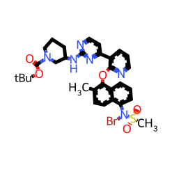 Cc1ccc2c(N(Br)S(C)(=O)=O)cccc2c1Oc1ncccc1-c1ccnc(NC2CCCN(C(=O)OC(C)(C)C)C2)n1